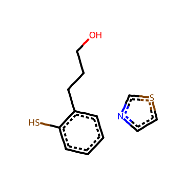 OCCCc1ccccc1S.c1cscn1